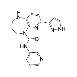 O=C(Nc1cccnc1)N1CCCNc2ccc(-c3cc[nH]n3)nc21